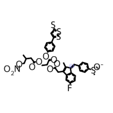 CC1=C(CC(=O)OC(COC(=O)CC(C)CO[N+](=O)[O-])C(=O)Oc2ccc(-c3cc(=S)ss3)cc2)c2cc(F)ccc2/C1=C\c1ccc([S+](C)[O-])cc1